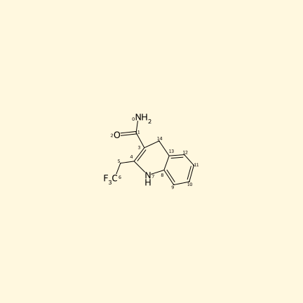 NC(=O)C1=C(CC(F)(F)F)Nc2ccccc2C1